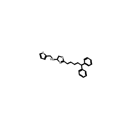 c1ccc(C(CCCCC2=NC(NCc3cccs3)CS2)c2ccccc2)cc1